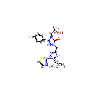 CC(=O)O[C@@H](C)c1nc(Cn2nc(-c3ccc(Cl)cc3)n(C[C@H](O)C(F)(F)F)c2=O)nn1-c1nccs1